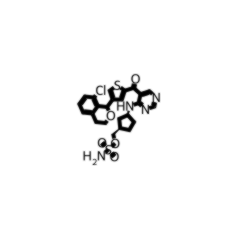 NS(=O)(=O)OC[C@@H]1CC[C@H](Nc2ncncc2C(=O)c2cc(C3OCCc4cccc(Cl)c43)cs2)C1